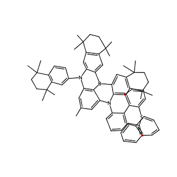 Cc1cc2c3c(c1)N(c1cccc(-c4ccccc4)c1-c1ccccc1Sc1ccccc1)c1cc4c(cc1B3c1cc3c(cc1N2c1ccc2c(c1)C(C)(C)CCC2(C)C)C(C)(C)CCC3(C)C)C(C)(C)CCC4(C)C